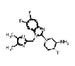 Cc1nc(Cn2c(N3CC[C@@H](F)[C@H](N)C3)nc3cc(F)c(F)cc32)oc1C